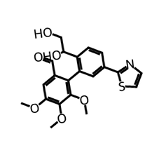 COc1cc(C=O)c(-c2cc(-c3nccs3)ccc2C(O)CO)c(OC)c1OC